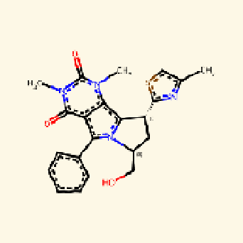 Cc1csc([C@@H]2C[C@@H](CO)n3c(-c4ccccc4)c4c(=O)n(C)c(=O)n(C)c4c32)n1